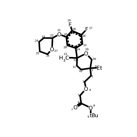 CCC1(CCOCC(=O)OC(C)(C)C)CCC(C)(c2cc(F)c(F)c(OC3CCCCO3)c2)OC1